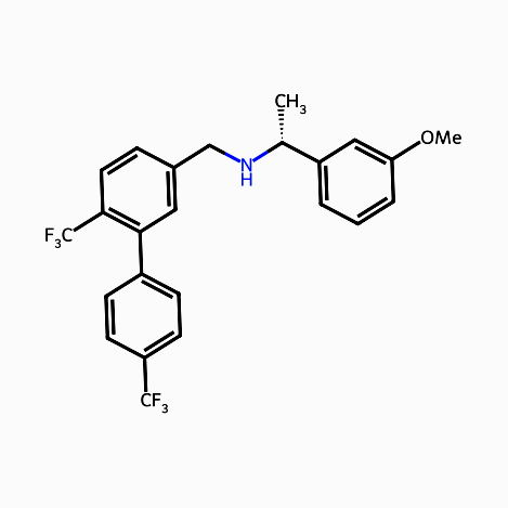 COc1cccc([C@@H](C)NCc2ccc(C(F)(F)F)c(-c3ccc(C(F)(F)F)cc3)c2)c1